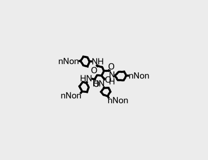 CCCCCCCCCC1CCC(NC(=O)CC(C(=O)NC2CCC(CCCCCCCCC)CC2)C(CC(=O)NC2CCC(CCCCCCCCC)CC2)C(=O)NC2CCC(CCCCCCCCC)CC2)CC1